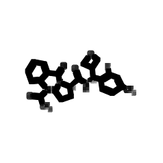 O=C(N[C@@H](c1ccc(C(F)(F)F)cc1F)C1COC1)[C@H]1CCCN1C(=O)c1ccccc1NC(=O)C(F)(F)F